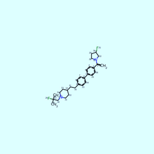 C=C(c1ccc(-c2ccc(CCC3CCN(CC(C)(C)F)CC3)cc2)cc1)N1CCC(F)C1